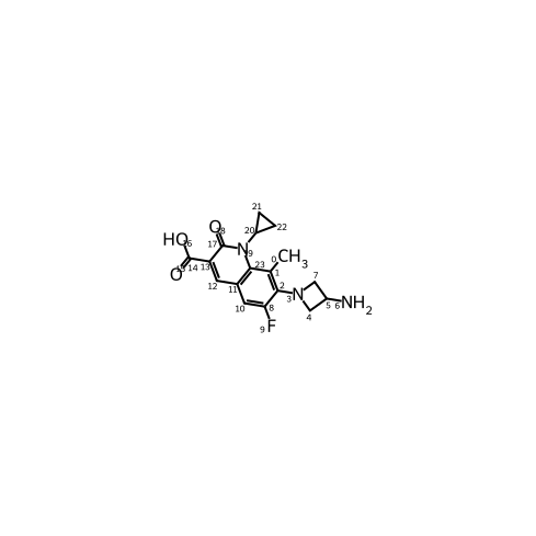 Cc1c(N2CC(N)C2)c(F)cc2cc(C(=O)O)c(=O)n(C3CC3)c12